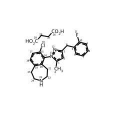 Cc1cc(Cc2ccccc2F)nn1-c1c(Cl)ccc2c1CCNCC2.O=C(O)CCC(=O)O